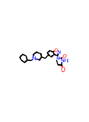 O=C1CCN(c2noc3ccc(CC4CCCN(CC5CCCCC5)C4)cc23)C(=O)N1